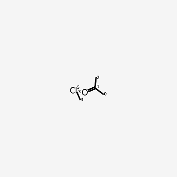 CC(C)=O.CCl